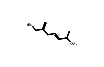 C=C(C/C=C/C(C)OC(C)=O)CC(C)(C)C